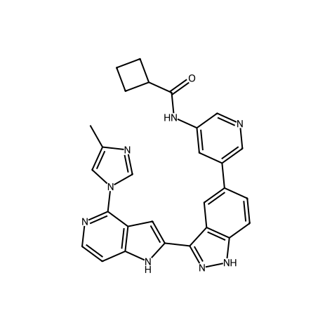 Cc1cn(-c2nccc3[nH]c(-c4n[nH]c5ccc(-c6cncc(NC(=O)C7CCC7)c6)cc45)cc23)cn1